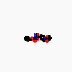 CC1CC(C(=O)ONC(=O)OCc2ccccc2)CCN1C(=O)OC(C)(C)C